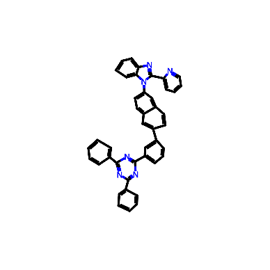 c1ccc(-c2nc(-c3ccccc3)nc(-c3cccc(-c4ccc5cc(-n6c(-c7ccccn7)nc7ccccc76)ccc5c4)c3)n2)cc1